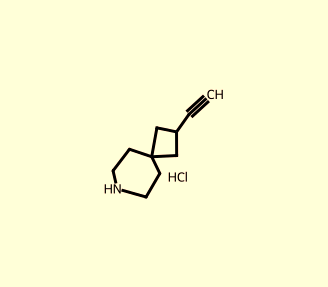 C#CC1CC2(CCNCC2)C1.Cl